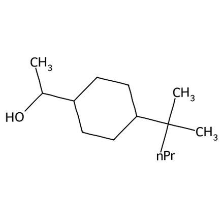 CCCC(C)(C)C1CCC(C(C)O)CC1